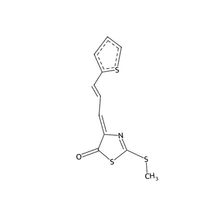 CSC1=NC(=CC=Cc2cccs2)C(=O)S1